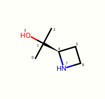 CC(C)(O)[C@H]1CCN1